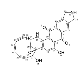 O=C1c2cc3c(cc2C(=O)c2c4c(cc(O)c21)[C@@]12OC1[C@H](C#C/C=C\C#C[C@H]2O)N4)CNC3